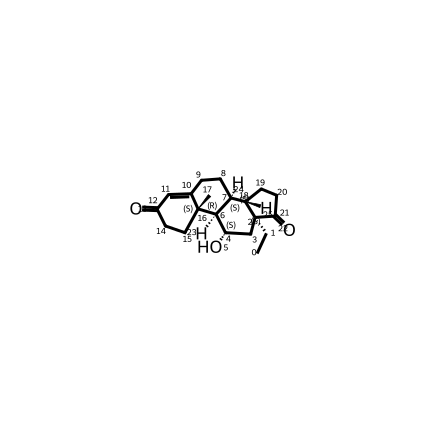 CC[C@]12C[C@H](O)[C@@H]3[C@@H](CCC4=CC(=O)CC[C@]43C)[C@@H]1CCC2=O